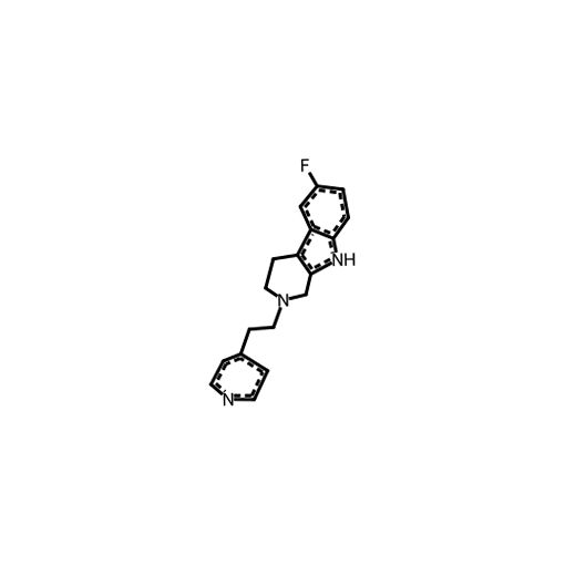 Fc1ccc2[nH]c3c(c2c1)CCN(CCc1ccncc1)C3